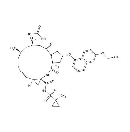 CCOc1ccc2c(O[C@@H]3C[C@H]4C(=O)N[C@]5(C(=O)NS(=O)(=O)C6(C)CC6)C[C@H]5/C=C\CC[C@@H](C)C[C@@H](C)[C@H](NC(=O)O)C(=O)N4C3)nccc2c1